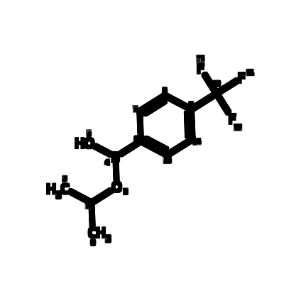 CC(C)OB(O)c1ccc(C(F)(F)F)cc1